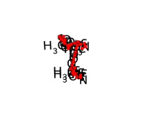 Cc1ncsc1-c1ccc(CNC(=O)[C@@H]2CCCN2C(=O)C(C(C)C)N2Cc3ccccc3C2=O)c(OCCCOCCOCCOc2ccc(N3C(=S)N(c4ccc(C#N)c(C(F)(F)F)c4)C(=O)C3(C)C)cc2)c1